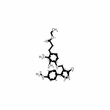 CCOC(=O)CCc1ccc(OCc2c(Cl)nsc2-c2ccc(OC)cc2)c(C)c1C